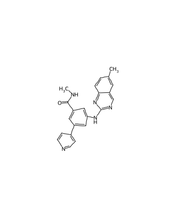 CNC(=O)c1cc(Nc2ncc3cc(C)ccc3n2)cc(-c2ccncc2)c1